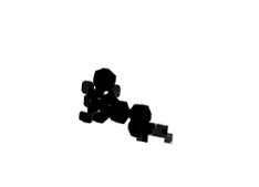 CCN1CCC2(CC1)C[C@@H](Oc1ccccc1CC(=O)O)c1cc(-c3cccc4c(N)nccc34)ccc12